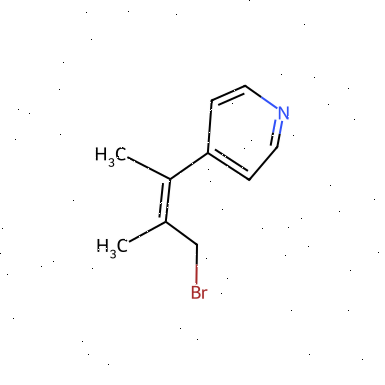 CC(CBr)=C(C)c1ccncc1